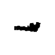 CCOCCOCCOCCOCCOCCOc1cc2ncnc(Nc3cccc(Br)c3)c2cc1NC(=O)CCl